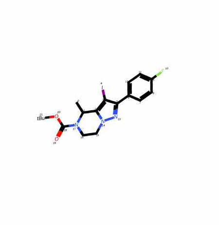 CC1c2c(I)c(-c3ccc(F)cc3)nn2CCN1C(=O)OC(C)(C)C